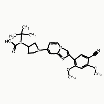 COc1cc(OC)c(-c2cn3ccc(N4CCC(N(C(=O)O)C(C)(C)C)C4)cc3n2)cc1C#N